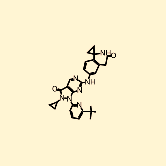 CC(C)(C)c1cccc(-n2c3nc(Nc4ccc5c(c4)CC(=O)NC54CC4)ncc3c(=O)n2C2CC2)n1